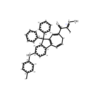 C/C(=N\O)C(=O)C1=CC2=C(C=CC1)c1ccc(Nc3ccc(C)cc3)cc1C2(c1ccccc1)c1ccccc1